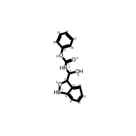 O=C(NC(O)C1OBc2ccccc21)Oc1ccccc1